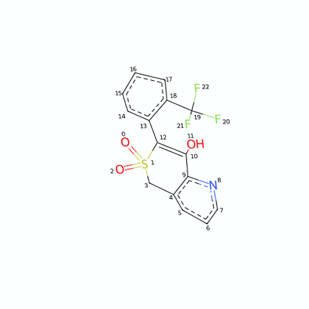 O=S1(=O)Cc2cccnc2C(O)=C1c1ccccc1C(F)(F)F